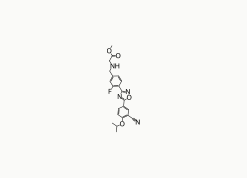 COC(=O)CNCc1ccc(-c2noc(-c3ccc(OC(C)C)c(C#N)c3)n2)c(F)c1